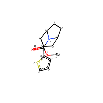 CC(C)(C)OC(=O)N1C2CCC1CC(O)(c1cccs1)C2